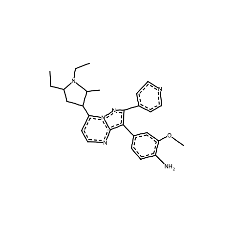 CCC1CC(c2ccnc3c(-c4ccc(N)c(OC)c4)c(-c4ccncc4)nn23)C(C)N1CC